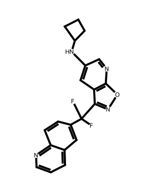 FC(F)(c1ccc2ncccc2c1)c1noc2ncc(NC3CCC3)cc12